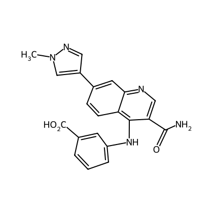 Cn1cc(-c2ccc3c(Nc4cccc(C(=O)O)c4)c(C(N)=O)cnc3c2)cn1